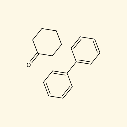 O=C1CCCCC1.c1ccc(-c2ccccc2)cc1